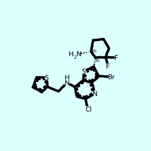 N[C@@H]1CCCC(F)(F)[C@@H]1c1sc2c(NCc3cccs3)cc(Cl)nc2c1Br